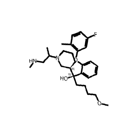 CNCC(C)N1CCC[C@@H]([C@@](O)(CCCCOC)c2ccccc2Oc2cc(F)ccc2C)C1